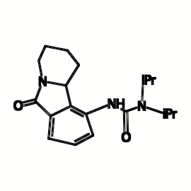 CC(C)N(C(=O)Nc1cccc2c1C1CCCCN1C2=O)C(C)C